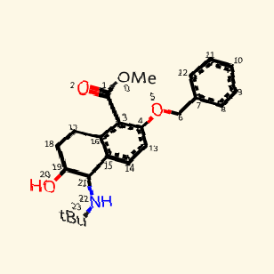 COC(=O)c1c(OCc2ccccc2)ccc2c1CCC(O)C2NC(C)(C)C